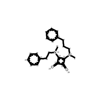 CN(CCCc1ccccc1)c1c(N(C)CCc2ccccc2)c(=O)c1=O